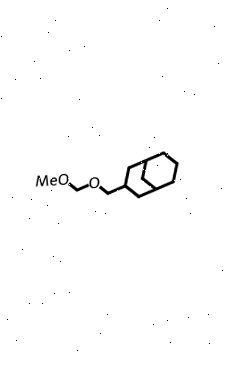 COCOCC1CC2CCCC(C2)C1